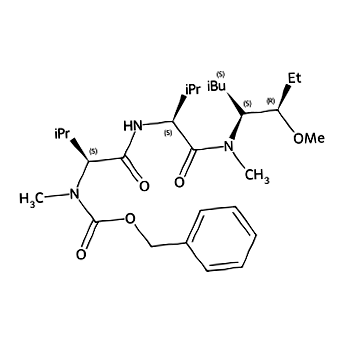 CC[C@H](C)[C@@H]([C@@H](CC)OC)N(C)C(=O)[C@@H](NC(=O)[C@H](C(C)C)N(C)C(=O)OCc1ccccc1)C(C)C